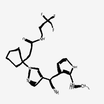 CNc1[nH]ccc1C(=N)c1cnn(C2(CC(=O)NCC(F)(F)F)CCCC2)c1